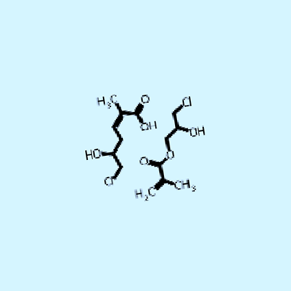 C=C(C)C(=O)OCC(O)CCl.CC(=CCC(O)CCl)C(=O)O